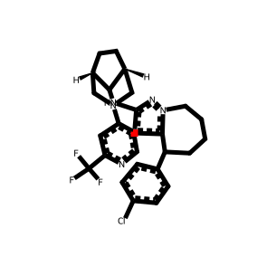 FC(F)(F)c1cc(N2C[C@H]3CC[C@@H](C2)C3Nc2nc3n(n2)CCCCC3c2ccc(Cl)cc2)ccn1